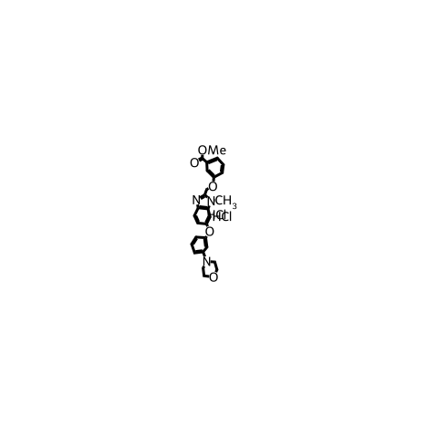 COC(=O)c1cccc(OCc2nc3ccc(Oc4cccc(N5CCOCC5)c4)cc3n2C)c1.Cl.Cl